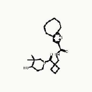 CC1(C)CN(C(=O)C2(CNC(=O)c3cc4c(s3)CCCCCC4)CCC2)CCC1O